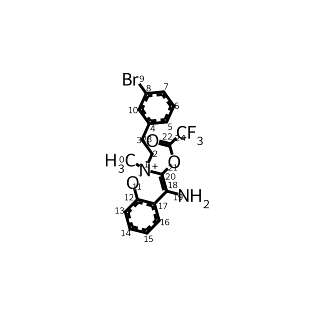 C[N+]1(CCc2cccc(Br)c2)Oc2ccccc2C(N)=C1OC(=O)C(F)(F)F